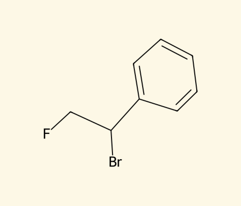 FCC(Br)c1ccccc1